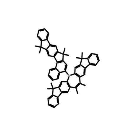 CC1=C(C)c2cc3c(cc2N(c2cc4c(c5ccccc25)-c2cc5c(cc2C4(C)C)-c2ccccc2C5(C)C)c2cc4c(cc21)-c1ccccc1C4(C)C)C(C)(C)c1ccccc1-3